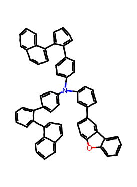 c1cc(-c2ccc3oc4ccccc4c3c2)cc(N(c2ccc(-c3ccccc3-c3cccc4ccccc34)cc2)c2ccc(-c3ccccc3-c3cccc4ccccc34)cc2)c1